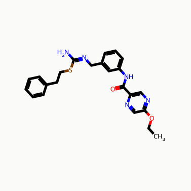 CCOc1cnc(C(=O)Nc2cccc(C/N=C(/N)SCCc3ccccc3)c2)cn1